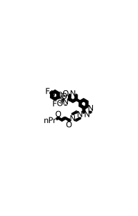 CCCC(=O)C=CC(=O)N1CCN(c2ncnc3ccc(-c4cnc(OC)c(N(C)S(=O)(=O)c5ccc(F)cc5F)c4)cc23)CC1